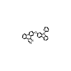 c1ccc(-n2c3ccccc3c3ccc(Oc4ccc5c6ccccc6n6cnnc6c5c4)cc32)nc1